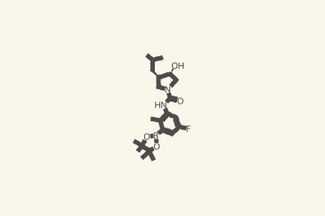 Cc1c(NC(=O)N2C[C@@H](CC(C)C)[C@H](O)C2)cc(F)cc1B1OC(C)(C)C(C)(C)O1